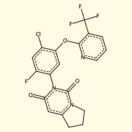 O=c1cc2n(c(=O)n1-c1cc(Oc3ncccc3C(F)(F)F)c(Cl)cc1F)CCC2